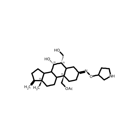 C=C1CCC2C3C(CC[C@]12C)[C@@]1(COC(C)=O)CCC(=NOC2CCNC2)CC1[C@@H](CO)[C@H]3O